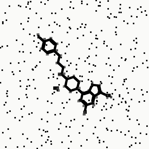 Cc1csc2c(N3CCC(NCCCc4ccc(F)cc4)CC3)nc(Cl)nc12.Cl